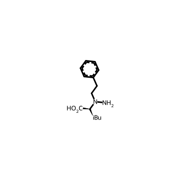 CC[C@H](C)[C@@H](C(=O)O)N(N)CCc1ccccc1